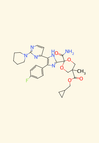 CC1(C(=O)OCC2CC2)COC(C(N)=O)(c2nc(-c3ccc(F)cc3)c(-c3ccnc(N4CCCCC4)n3)[nH]2)OC1